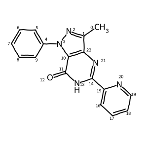 Cc1nn(-c2ccccc2)c2c(=O)[nH]c(-c3ccccn3)nc12